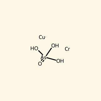 O=[As](O)(O)O.[Cr].[Cu]